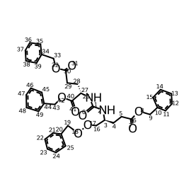 O=C(N[C@@H](CCC(=O)OCc1ccccc1)COOCc1ccccc1)N[C@@H](CCC(=O)OCc1ccccc1)C(=O)OCc1ccccc1